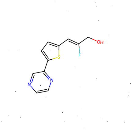 OCC(F)=Cc1ccc(-c2cnccn2)s1